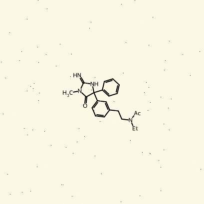 CCN(CCc1cccc(C2(c3ccccc3)NC(=N)N(C)C2=O)c1)C(C)=O